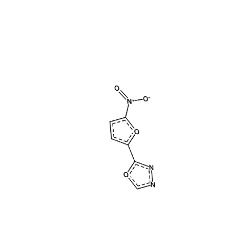 O=[N+]([O-])c1ccc(-c2nnco2)o1